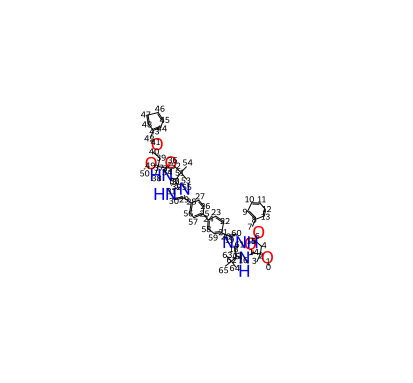 COC(C)(CCOCc1ccccc1)C(=O)N[C@H](c1nc(-c2ccc(-c3ccc(-c4c[nH]c([C@@H](NC(=O)C(C)(CCOCc5ccccc5)OC)C(C)(C)C)n4)cc3)cc2)c[nH]1)C(C)(C)C